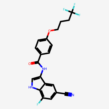 N#Cc1cc(F)c2[nH]cc(NC(=O)c3ccc(OCCCC(F)(F)F)cc3)c2c1